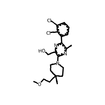 COCCC1(C)CCN(c2nc(C)c(-c3cccc(Cl)c3Cl)nc2CO)CC1